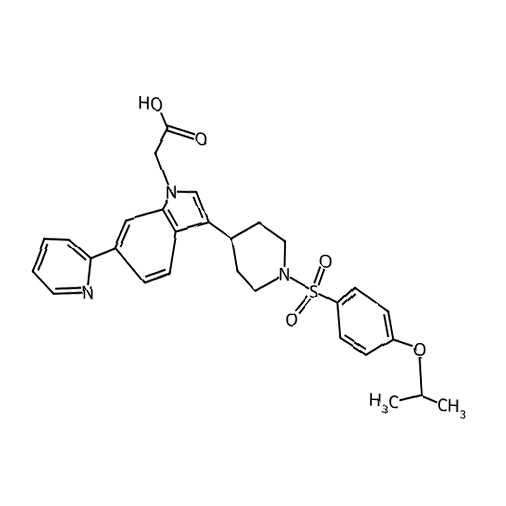 CC(C)Oc1ccc(S(=O)(=O)N2CCC(c3cn(CC(=O)O)c4cc(-c5ccccn5)ccc34)CC2)cc1